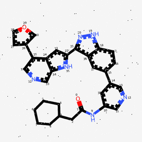 O=C(CC1CCCCC1)Nc1cncc(-c2ccc3[nH]nc(-c4cc5c(-c6ccoc6)cncc5[nH]4)c3c2)c1